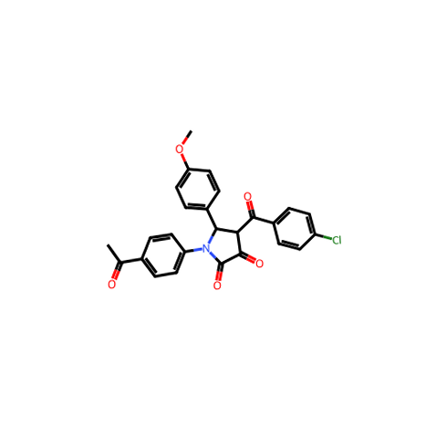 COc1ccc(C2C(C(=O)c3ccc(Cl)cc3)C(=O)C(=O)N2c2ccc(C(C)=O)cc2)cc1